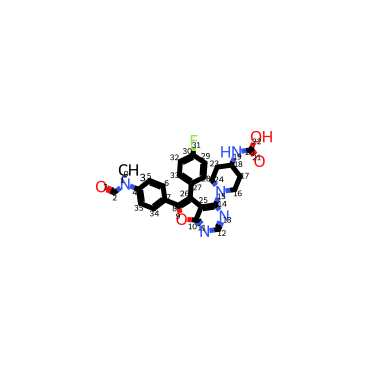 CN(C=O)c1ccc(-c2oc3ncnc(N4CCC(NC(=O)O)CC4)c3c2-c2ccc(F)cc2)cc1